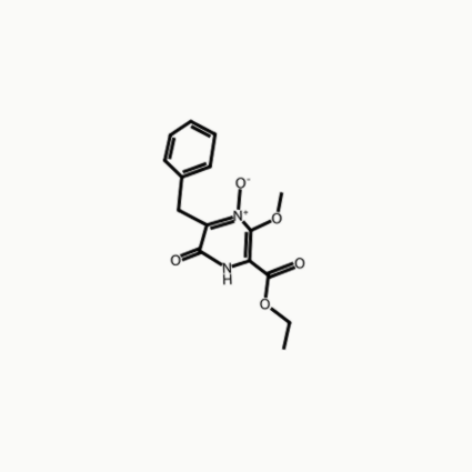 CCOC(=O)c1[nH]c(=O)c(Cc2ccccc2)[n+]([O-])c1OC